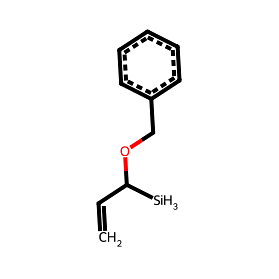 C=CC([SiH3])OCc1ccccc1